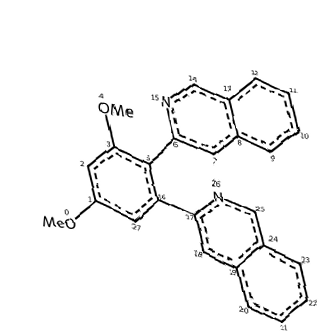 COc1cc(OC)c(-c2cc3ccccc3cn2)c(-c2cc3ccccc3cn2)c1